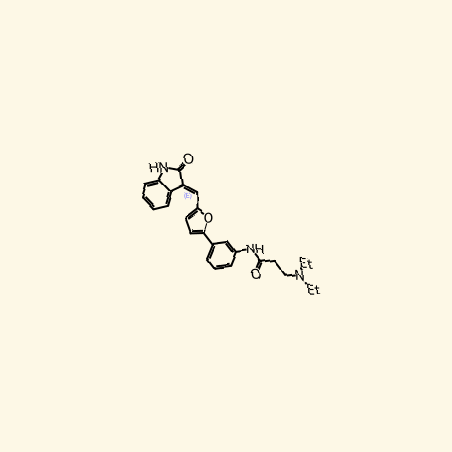 CCN(CC)CCC(=O)Nc1cccc(-c2ccc(/C=C3/C(=O)Nc4ccccc43)o2)c1